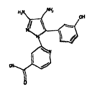 Nc1nn(-c2cc(C(=O)N=O)ccn2)c(-c2cccc(O)c2)c1N